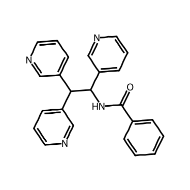 O=C(NC(c1cccnc1)C(c1cccnc1)c1cccnc1)c1ccccc1